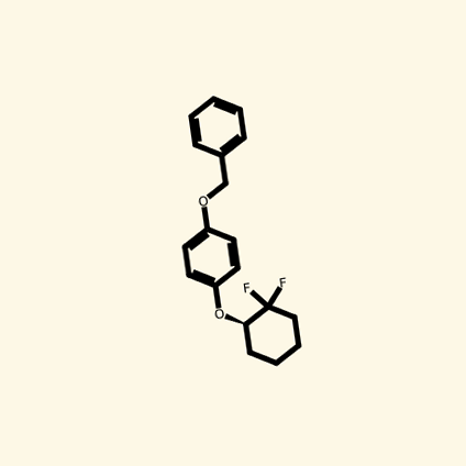 FC1(F)CCCC[C@H]1Oc1ccc(OCc2ccccc2)cc1